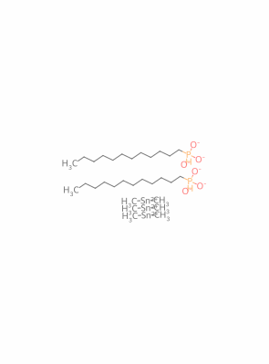 CCCCCCCCCCCC[PH]([O-])([O-])[O-].CCCCCCCCCCCC[PH]([O-])([O-])[O-].[CH3][Sn+2][CH3].[CH3][Sn+2][CH3].[CH3][Sn+2][CH3]